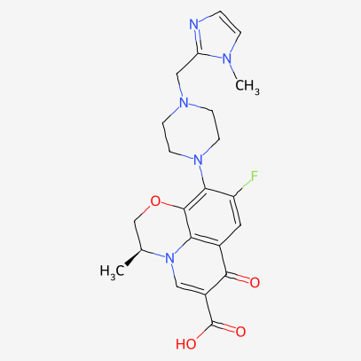 C[C@H]1COc2c(N3CCN(Cc4nccn4C)CC3)c(F)cc3c(=O)c(C(=O)O)cn1c23